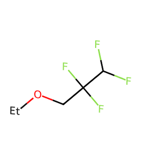 [CH2]COCC(F)(F)C(F)F